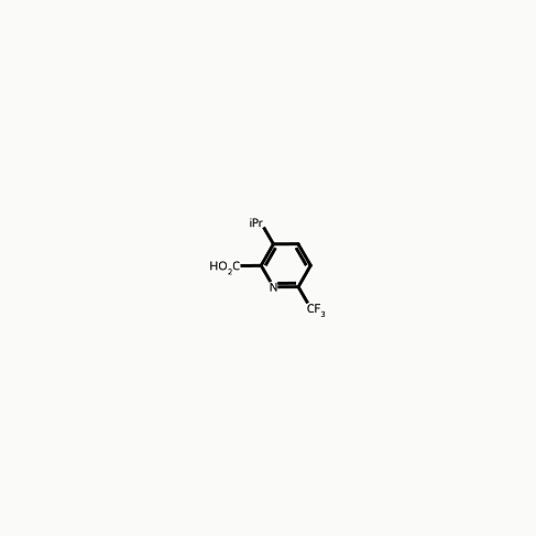 CC(C)c1ccc(C(F)(F)F)nc1C(=O)O